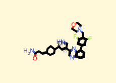 C=C(/C=C(\C=N)c1cnc2cccc(-c3cc(F)c(CN4CCOCC4)c(F)c3)c2n1)C1CCC(=CCC(N)=O)CC1